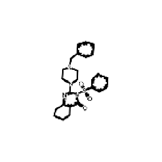 O=c1c2c(nc(N3CCN(Cc4ccccc4)CC3)n1S(=O)(=O)c1ccccc1)CCCC2